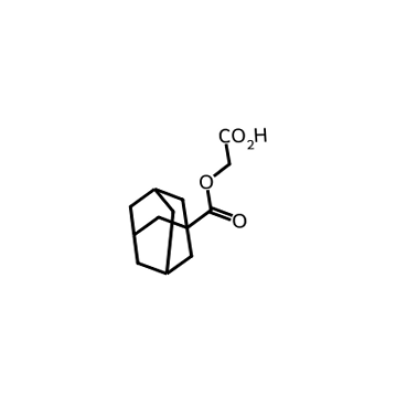 O=C(O)COC(=O)C12CC3CC(CC(C3)C1)C2